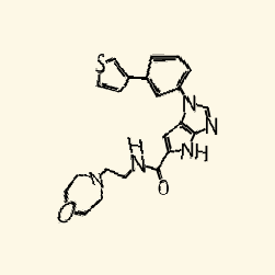 O=C(NCCN1CCOCC1)c1cc2c(ncn2-c2cccc(-c3ccsc3)c2)[nH]1